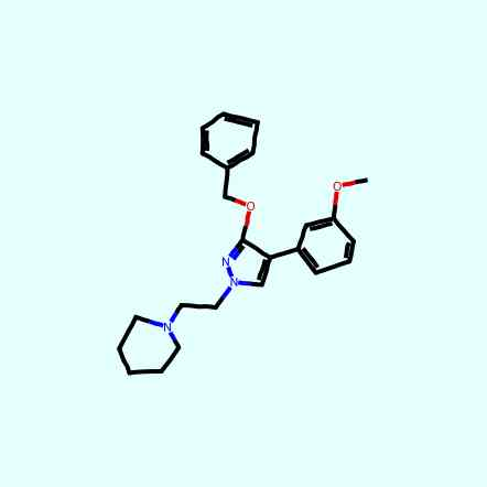 COc1cccc(-c2cn(CCN3CCCCC3)nc2OCc2ccccc2)c1